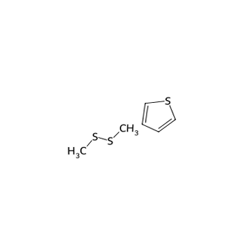 CSSC.c1ccsc1